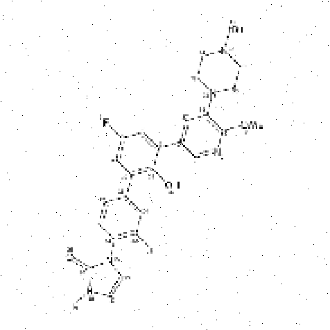 COc1ncc(-c2cc(F)cc(-c3ccc(-n4ccn(C)c4=O)c(C)c3)c2O)cc1N1CCN(C(C)(C)C)CC1